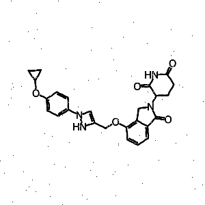 O=C1CCC(N2Cc3c(OCc4cn(-c5ccc(OC6CC6)cc5)[nH]4)cccc3C2=O)C(=O)N1